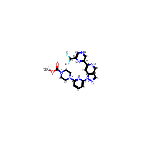 CC(C)(C)OC(=O)N1CCN(c2cccc(-n3ncc4cnc(-c5cncc(C(F)F)n5)cc43)n2)CC1